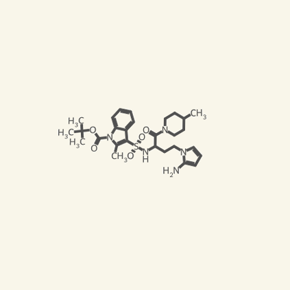 Cc1c(S(=O)(=O)NC(CCn2cccc2N)C(=O)N2CCC(C)CC2)c2ccccc2n1C(=O)OC(C)(C)C